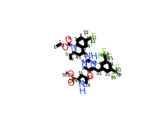 CCOC(=O)N1c2ccc(C(F)(F)F)cc2[C@@H](Nc2ncc(O[C@@H]3CN[C@H](C(=O)OC)C3)c(Cc3cc(C(F)(F)F)cc(C(F)(F)F)c3)n2)C[C@H]1CC